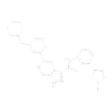 Cc1ccc(-c2cccc3[nH]c(-c4n[nH]c5cnc(-c6cncc(CN7CCCCC7)c6)cc45)nc23)s1